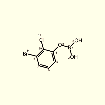 OB(O)Oc1cccc(Br)c1Cl